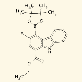 CCOC(=O)c1cc(F)c(B2OC(C)(C)C(C)(C)O2)c2c1[nH]c1ccccc12